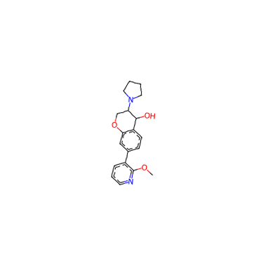 COc1ncccc1-c1ccc2c(c1)OCC(N1CCCC1)C2O